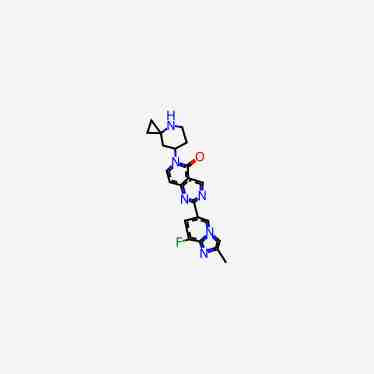 Cc1cn2cc(-c3ncc4c(=O)n(C5CCNC6(CC6)C5)ccc4n3)cc(F)c2n1